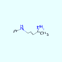 CC(N)C=CCNC(C)C